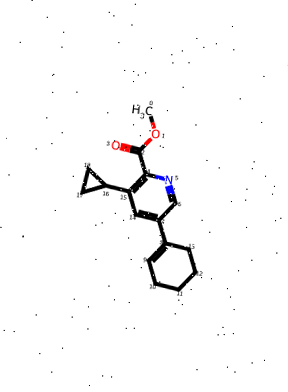 COC(=O)c1ncc(C2=CCCCC2)cc1C1CC1